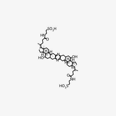 C[C@@H](CCC(=O)NCCS(=O)(=O)O)[C@H]1CC[C@@H]2[C@H]3[C@H](O)CC4Cc5nc6c(nc5C[C@@]4(C)[C@@H]3CC[C@]21C)CC1C[C@H](O)[C@H]2[C@@H]3CC[C@H]([C@@H](C)CCC(=O)NCCS(=O)(=O)O)[C@@]3(C)CC[C@@H]2[C@@]1(C)C6